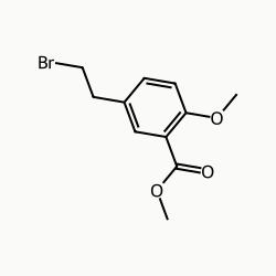 COC(=O)c1cc(CCBr)ccc1OC